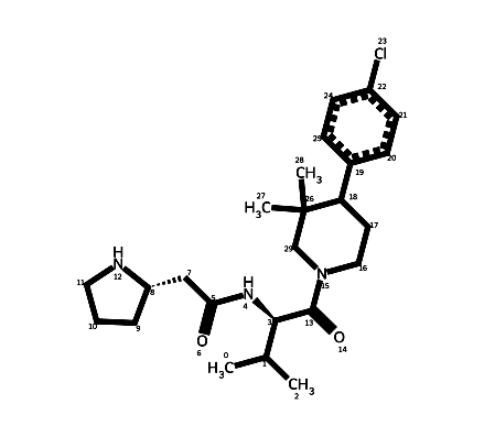 CC(C)[C@@H](NC(=O)C[C@@H]1CCCN1)C(=O)N1CCC(c2ccc(Cl)cc2)C(C)(C)C1